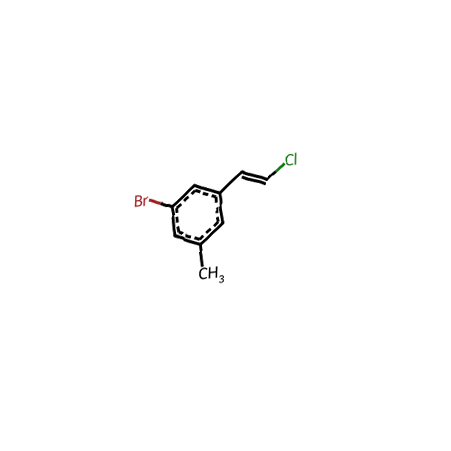 Cc1cc(Br)cc(C=CCl)c1